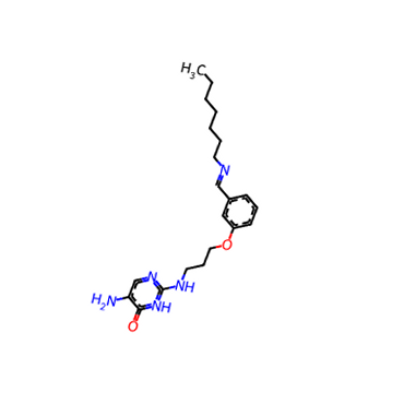 CCCCCCCN=Cc1cccc(OCCCNc2ncc(N)c(=O)[nH]2)c1